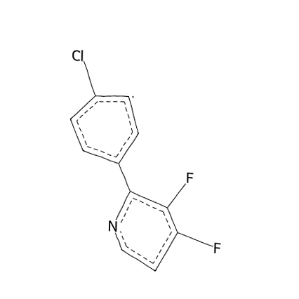 Fc1ccnc(-c2c[c]c(Cl)cc2)c1F